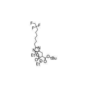 CCOP(=O)(OCC)C(Cc1nc(CCCCCCC(F)(F)CF)no1)C(=O)OC(C)(C)C